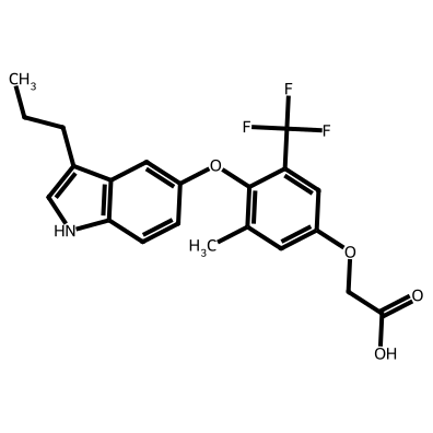 CCCc1c[nH]c2ccc(Oc3c(C)cc(OCC(=O)O)cc3C(F)(F)F)cc12